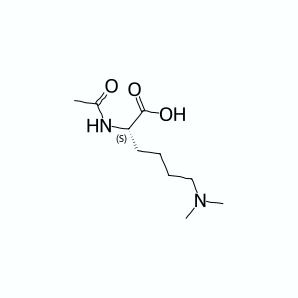 CC(=O)N[C@@H](CCCCN(C)C)C(=O)O